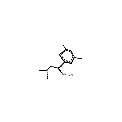 Cc1cc(C)cc(C(N)CC(C)C)c1.Cl